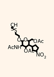 C#SSCCOC1OC(COC(C)=O)C(C2CCC([N+](=O)[O-])C2)C(OC(C)=O)C1NC(C)=O